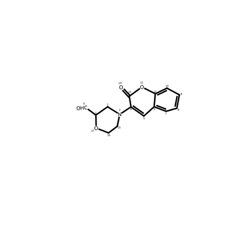 O=CC1CN(c2cc3ccccc3oc2=O)CCO1